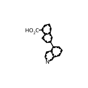 O=C(O)c1cccc2cc(-c3cccc4cnccc34)ccc12